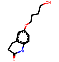 O=C1CCc2cc(OCCCCO)ccc2N1